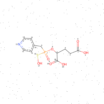 O=C(O)CCC(OP(=O)(Cc1ccncc1)SO)C(=O)O